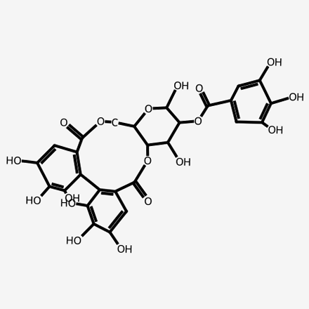 O=C(OC1C(O)OC2COC(=O)c3cc(O)c(O)c(O)c3-c3c(cc(O)c(O)c3O)C(=O)OC2C1O)c1cc(O)c(O)c(O)c1